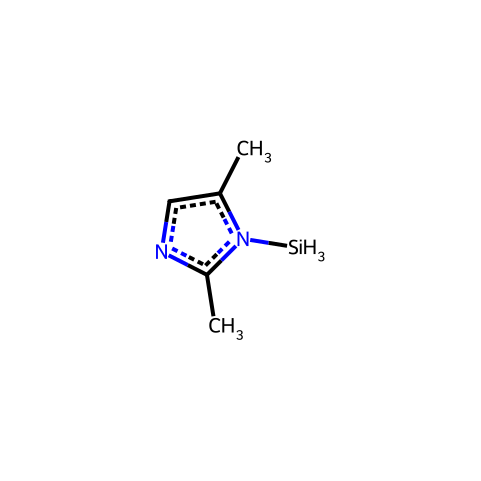 Cc1cnc(C)n1[SiH3]